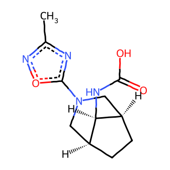 Cc1noc(N2C[C@H]3CC[C@@H](C2)[C@H]3NC(=O)O)n1